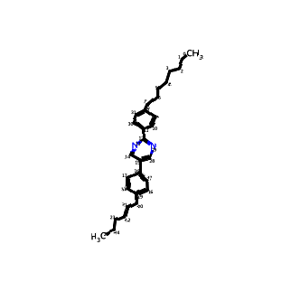 CCCCCCCCc1ccc(-c2ncc(-c3ccc(CCCCCC)cc3)cn2)cc1